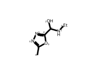 CCNC(O)c1nnc(C)o1